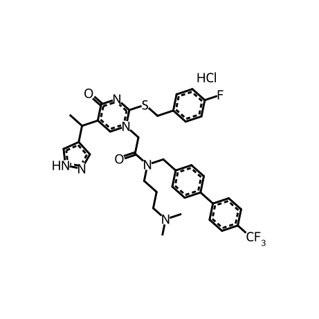 CC(c1cn[nH]c1)c1cn(CC(=O)N(CCCN(C)C)Cc2ccc(-c3ccc(C(F)(F)F)cc3)cc2)c(SCc2ccc(F)cc2)nc1=O.Cl